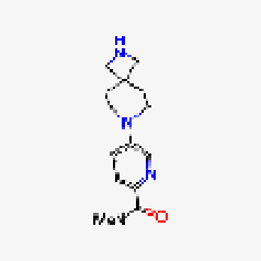 CNC(=O)c1ccc(N2CCC3(CC2)CNC3)cn1